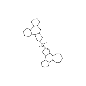 CS(C)(C1=CC2C3CCCCCC3C3CCCCC3C2C1)C1CC2CC3CCCCC3C3CCCCC3C2C1